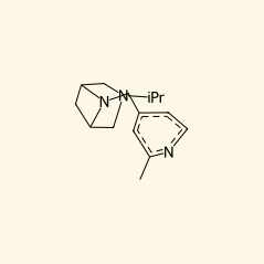 Cc1cc(CN2C3CC2CN(C(C)C)C3)ccn1